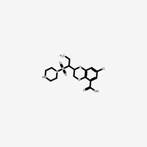 [CH2]CC(C1COc2c(cc(Cl)cc2C(=O)O)O1)S(=O)(=O)N1CCNCC1